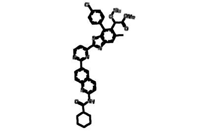 COC(=O)C(OC(C)(C)C)c1c(C)cc2nc(-c3ccnc(-c4ccc5nc(NC(=O)C6CCCCC6)ccc5c4)n3)sc2c1-c1ccc(Cl)cc1